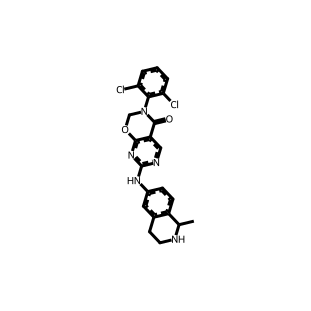 CC1NCCc2cc(Nc3ncc4c(n3)OCN(c3c(Cl)cccc3Cl)C4=O)ccc21